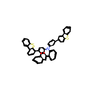 c1cc(-c2ccc3sc4ccccc4c3c2)cc(N(c2ccc(-c3cccc4c3sc3ccccc34)cc2)c2ccccc2-c2ccc3ccccc3c2)c1